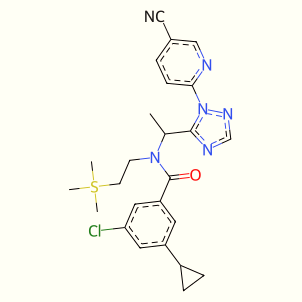 CC(c1ncnn1-c1ccc(C#N)cn1)N(CCS(C)(C)C)C(=O)c1cc(Cl)cc(C2CC2)c1